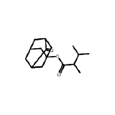 CC(C)C(C)C(=O)OC12CC3CC(C1)C(=O)C(C3)C2